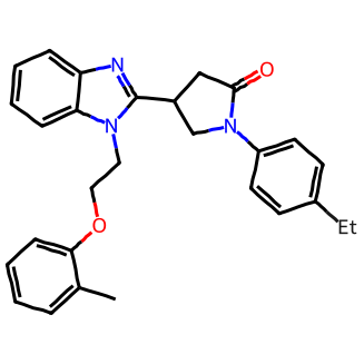 CCc1ccc(N2CC(c3nc4ccccc4n3CCOc3ccccc3C)CC2=O)cc1